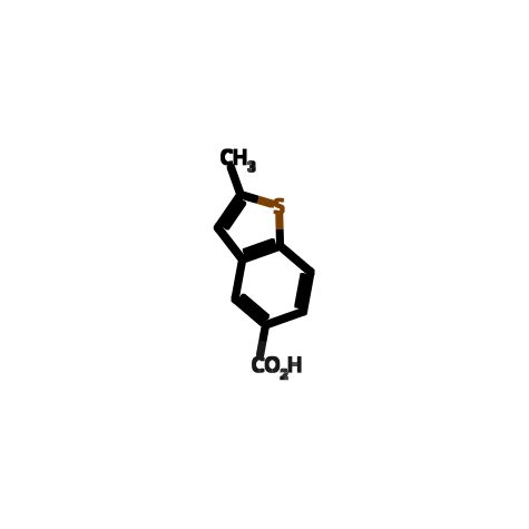 Cc1cc2cc(C(=O)O)ccc2s1